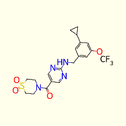 O=C(c1cnc(NCc2cc(OC(F)(F)F)cc(C3CC3)c2)nc1)N1CCS(=O)(=O)CC1